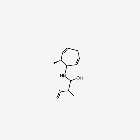 C=NC(C)C(O)NC1C=CCC=C[C@@H]1C